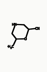 [CH2]C1CNCC(C#N)O1